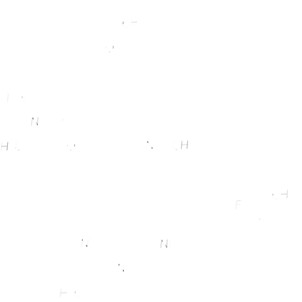 COc1ccc(N(C)c2ccc3nc(C)nc(NCc4cccc(C(C)(F)F)c4)c3c2)cc1CC(=O)N(C)C